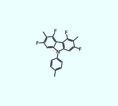 Cc1ccc(-n2c3cc(F)c(C)c(F)c3c3c(F)c(C)c(F)cc32)cc1